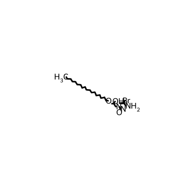 CCCCCCCCCCCCCCCCCCOCC(O)Cn1cc(Br)c(N)nc1=O